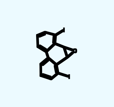 Ic1cccc2c1C1OC1c1c(I)cccc1-2